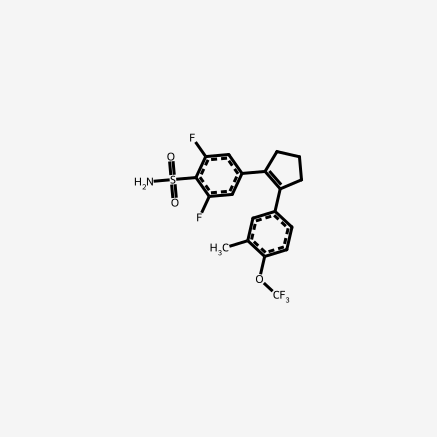 Cc1cc(C2=C(c3cc(F)c(S(N)(=O)=O)c(F)c3)CCC2)ccc1OC(F)(F)F